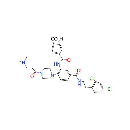 CN(C)CCC(=O)N1CCN(c2ccc(C(=O)NCCc3ccc(Cl)cc3Cl)cc2NC(=O)c2ccc(C(=O)O)cc2)CC1